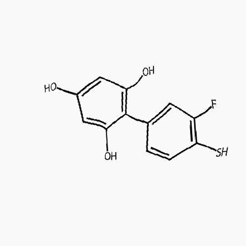 Oc1cc(O)c(-c2ccc(S)c(F)c2)c(O)c1